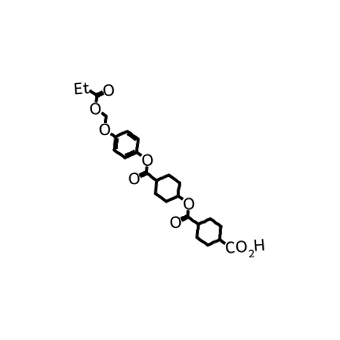 CCC(=O)OCOc1ccc(OC(=O)C2CCC(OC(=O)C3CCC(C(=O)O)CC3)CC2)cc1